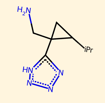 CC(C)C1CC1(CN)c1nnn[nH]1